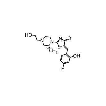 C[C@H]1CN(CCO)CCN1C1=NC(=O)C(=Cc2ccc(F)cc2O)S1